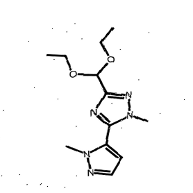 CCOC(OCC)c1nc(-c2ccnn2C)n(C)n1